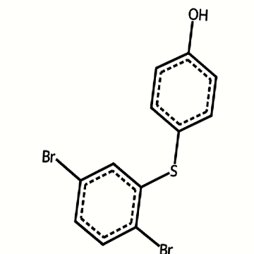 Oc1ccc(Sc2cc(Br)ccc2Br)cc1